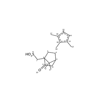 CC1(C)C2CCC1(CS(=O)(=O)O)C(=O)C2.Cc1csc(C)c1C